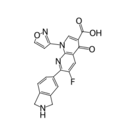 O=C(O)c1cn(-c2ccon2)c2nc(-c3ccc4c(c3)CNC4)c(F)cc2c1=O